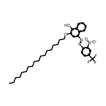 CCCCCCCCCCCCCCCCCCOc1cc(/N=N/c2ccc(C(F)(F)F)cc2[N+](=O)[O-])c2ccccc2c1O